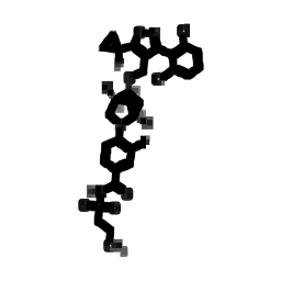 CCCS(=O)(=O)NC(=O)c1ccc(N2C[C@@H]3C[C@H]2C[C@H]3OCc2c(-c3c(Cl)cccc3Cl)noc2C2(F)CC2)c(F)c1